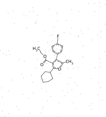 CCOC(=O)c1c(C2CCCCC2)oc(C)c1-c1ccc(F)cc1